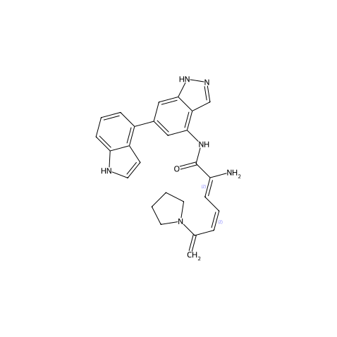 C=C(/C=C\C=C(/N)C(=O)Nc1cc(-c2cccc3[nH]ccc23)cc2[nH]ncc12)N1CCCC1